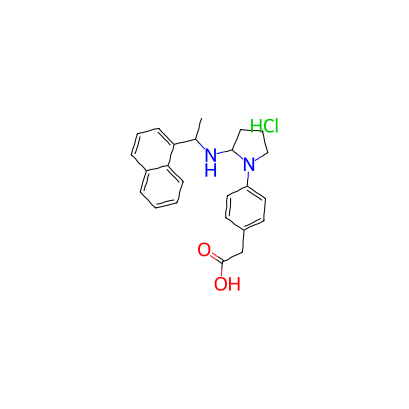 CC(NC1CCCN1c1ccc(CC(=O)O)cc1)c1cccc2ccccc12.Cl